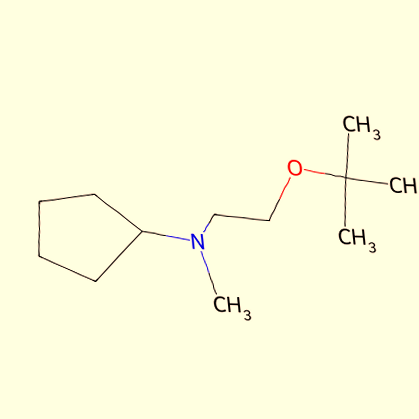 CN(CCOC(C)(C)C)C1CCCC1